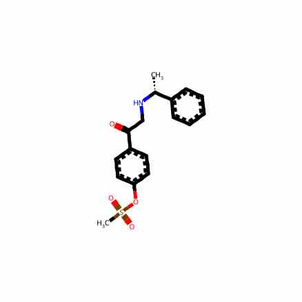 C[C@@H](NCC(=O)c1ccc(OS(C)(=O)=O)cc1)c1ccccc1